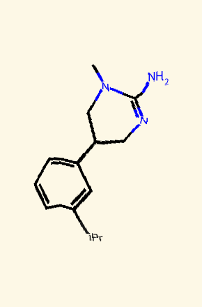 CC(C)c1cccc(C2CN=C(N)N(C)C2)c1